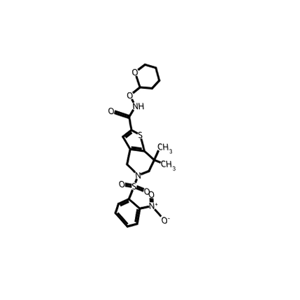 CC1(C)CN(S(=O)(=O)c2ccccc2[N+](=O)[O-])Cc2cc(C(=O)NOC3CCCCO3)sc21